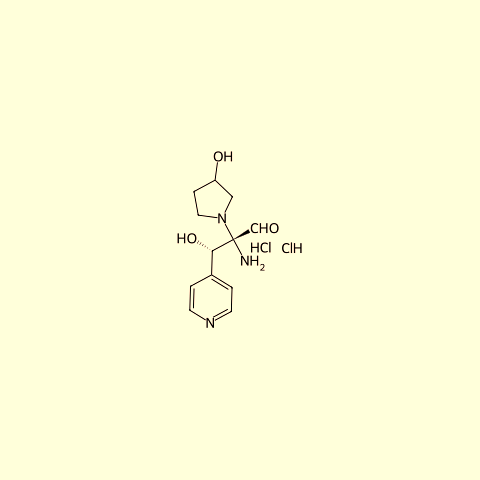 Cl.Cl.N[C@](C=O)([C@@H](O)c1ccncc1)N1CCC(O)C1